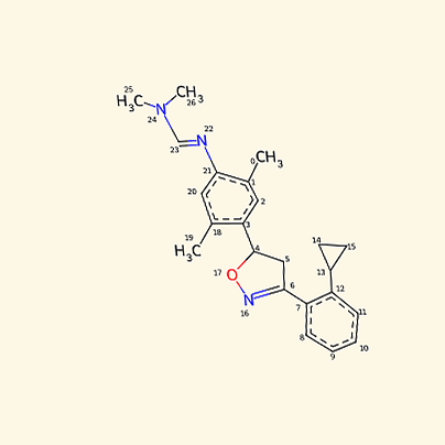 Cc1cc(C2CC(c3ccccc3C3CC3)=NO2)c(C)cc1N=CN(C)C